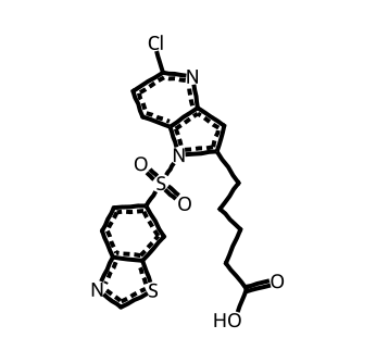 O=C(O)CCCCc1cc2nc(Cl)ccc2n1S(=O)(=O)c1ccc2ncsc2c1